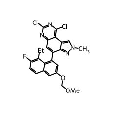 CCc1c(F)ccc2cc(OCOC)cc(-c3cc4nc(Cl)nc(Cl)c4c4cn(C)nc34)c12